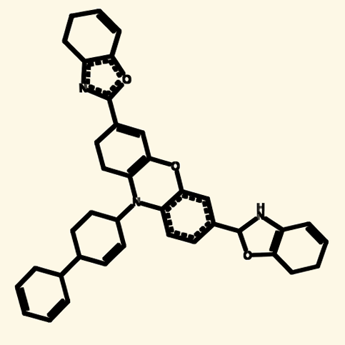 C1=CCC(C2C=CC(N3C4=C(C=C(c5nc6c(o5)C=CCC6)CC4)Oc4cc(C5NC6=C(CCC=C6)O5)ccc43)CC2)C=C1